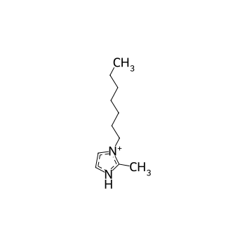 CCCCCCC[n+]1cc[nH]c1C